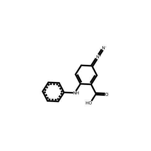 [N-]=[N+]=C1C=C(C(=O)O)C(Nc2ccccc2)=CC1